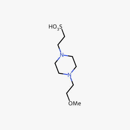 COCCN1CCN(CCS(=O)(=O)O)CC1